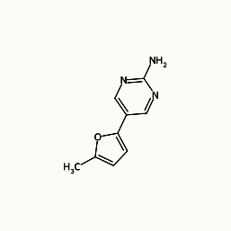 Cc1ccc(-c2cnc(N)nc2)o1